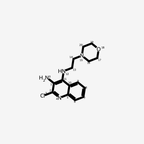 Nc1c(Cl)nc2ccccc2c1NCCN1CCOCC1